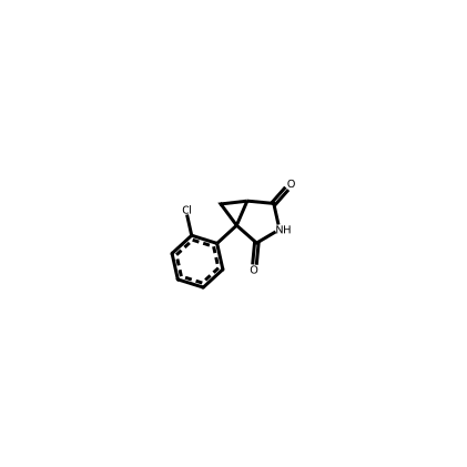 O=C1NC(=O)C2(c3ccccc3Cl)CC12